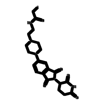 O=C(CI)NCCN1CCN(c2ccc3c(c2)C(=O)N(C2CCC(=O)NC2=O)C3=O)CC1